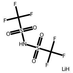 O=S(=O)(NS(=O)(=O)C(F)(F)F)C(F)(F)F.[LiH]